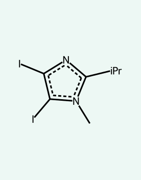 CC(C)c1nc(I)c(I)n1C